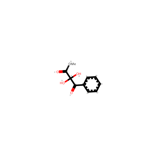 COC(=O)C(O)(O)C(=O)c1ccccc1